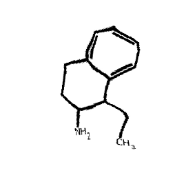 CCC1c2ccccc2CCC1N